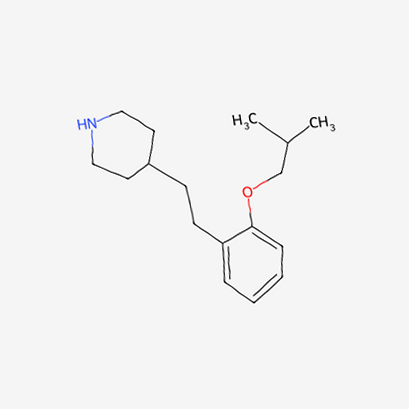 CC(C)COc1ccccc1CCC1CCNCC1